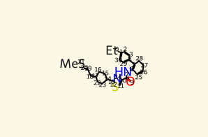 CCc1ccc(C2=C(NC(=O)c3csc(C4CCC(CCCSC)CC4)n3)C=CCC2)cc1